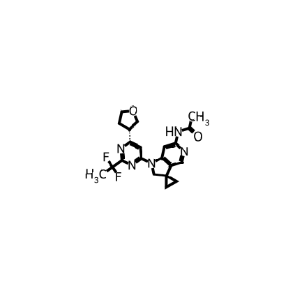 CC(=O)Nc1cc2c(cn1)C1(CC1)CN2c1cc([C@@H]2CCOC2)nc(C(C)(F)F)n1